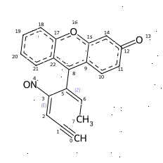 C#C/C=C(N=O)\C(=C/C)c1c2ccc(=O)cc-2oc2ccccc12